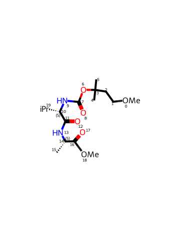 COCCC(C)(C)OC(=O)N[C@H](C(=O)N[C@@H](C)C(=O)OC)C(C)C